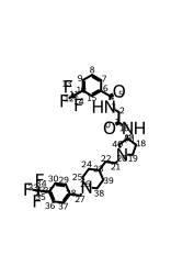 O=C(CNC(=O)c1cccc(C(F)(F)F)c1)N[C@@H]1CCN(CCC2CCN(Cc3ccc(C(F)(F)F)cc3)CC2)C1